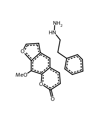 COc1c2occc2cc2ccc(=O)oc12.NNCCc1ccccc1